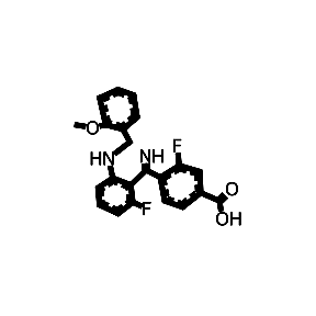 COc1ccccc1CNc1cccc(F)c1C(=N)c1ccc(C(=O)O)cc1F